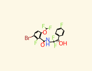 O=C(NCC(F)(F)[C@@H](O)c1ccc(F)cc1)c1c(OC(F)F)ccc(Br)c1F